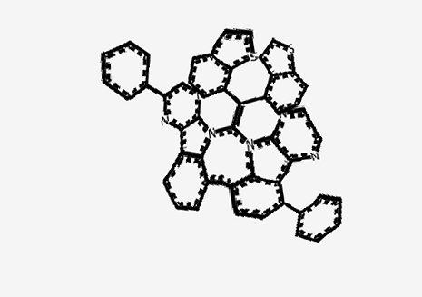 c1ccc(-c2cnc3c(n2)c2cccc4c5ccc(-c6ccccc6)c6c7nccnc7n(/c(=C(\c7cccc8sccc78)c7cccc8ccsc78)n3c42)c56)cc1